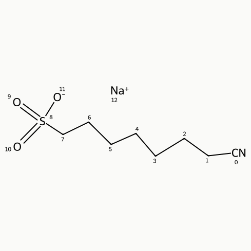 N#CCCCCCCCS(=O)(=O)[O-].[Na+]